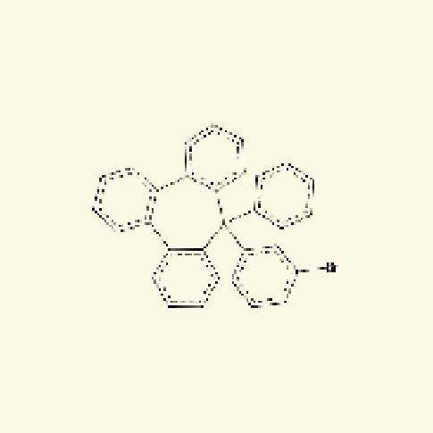 Brc1cccc(C2(c3ccccc3)c3ccccc3-c3ccccc3-c3ccccc32)c1